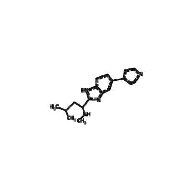 CNC(CC(C)C)c1nc2cc(-c3ccncc3)ccc2[nH]1